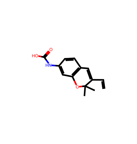 C=CC1=Cc2ccc(NC(=O)O)cc2OC1(C)C